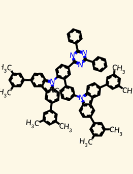 Cc1cc(C)cc(-c2ccc3c(c2)c2cc(-c4cc(C)cc(C)c4)ccc2n3-c2ccc(C#N)c(-c3cc(-c4nc(-c5ccccc5)nc(-c5ccccc5)n4)ccc3-n3c4ccc(-c5cc(C)cc(C)c5)cc4c4cc(-c5cc(C)cc(C)c5)ccc43)c2)c1